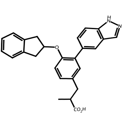 CC(Cc1ccc(OC2Cc3ccccc3C2)c(-c2ccc3[nH]ncc3c2)c1)C(=O)O